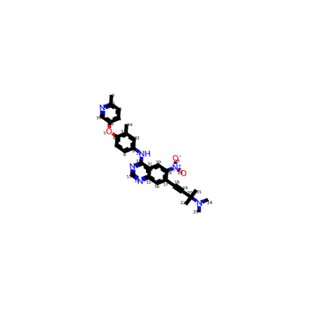 Cc1ccc(Oc2ccc(Nc3ncnc4cc(C#CC(C)(C)N(C)C)c([N+](=O)[O-])cc34)cc2C)cn1